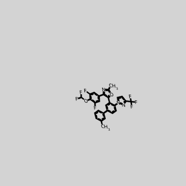 Cc1cccc(-c2ccc(-n3ccc(C(F)(F)F)n3)c(-c3oc(C)nc3-c3cc(F)c(OC(F)F)c(F)c3)c2)c1